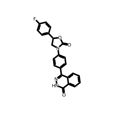 O=C1OC(c2ccc(F)cc2)CN1c1ccc(-c2n[nH]c(=O)c3ccccc23)cc1